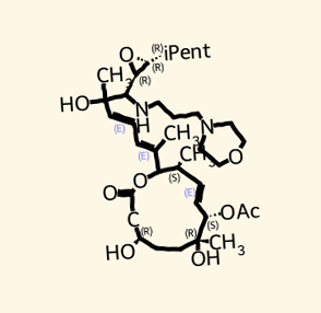 CCC[C@@H](C)[C@H]1O[C@@H]1C(NCCCN1CCOCC1)C(C)(O)/C=C/C=C(\C)C1OC(=O)C[C@H](O)CC[C@@](C)(O)[C@@H](OC(C)=O)/C=C/[C@@H]1C